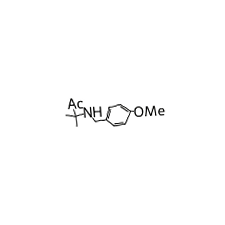 COc1ccc(CNC(C)(C)C(C)=O)cc1